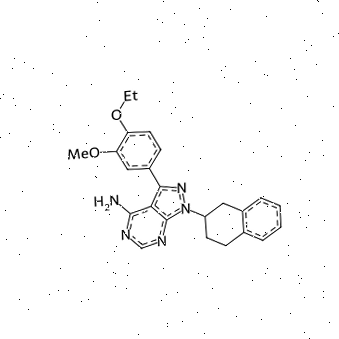 CCOc1ccc(-c2nn(C3CCc4ccccc4C3)c3ncnc(N)c23)cc1OC